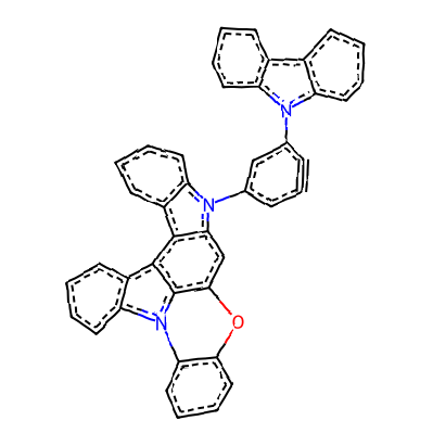 c1cc(-n2c3ccccc3c3c4c5ccccc5n5c4c(cc32)Oc2ccccc2-5)cc(-n2c3ccccc3c3ccccc32)c#1